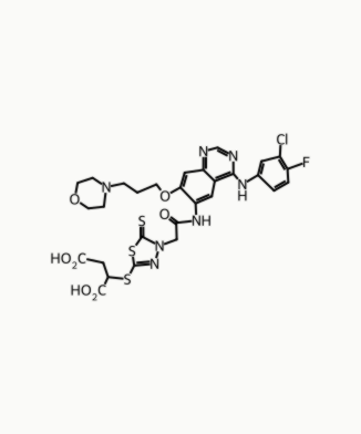 O=C(O)CC(Sc1nn(CC(=O)Nc2cc3c(Nc4ccc(F)c(Cl)c4)ncnc3cc2OCCCN2CCOCC2)c(=S)s1)C(=O)O